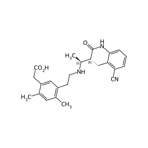 Cc1cc(C)c(CC(=O)O)cc1CCN[C@@H](C)[C@H]1Cc2c(C#N)cccc2NC1=O